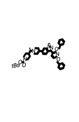 C[C@H](C1CCN(C(=O)OC(C)(C)C)CC1)N1CC=C(c2ccc3c(-c4ccc(OCc5ccccc5)nc4OCc4ccccc4)nn(C)c3c2)CC1